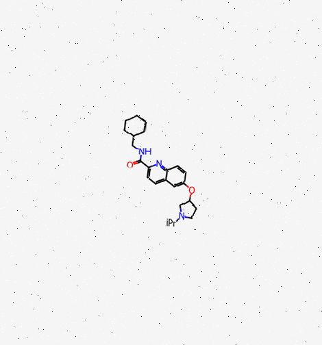 CC(C)N1CCC(Oc2ccc3nc(C(=O)NCC4CCCCC4)ccc3c2)C1